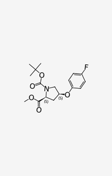 COC(=O)[C@@H]1C[C@H](Oc2ccc(F)cc2)CN1C(=O)OC(C)(C)C